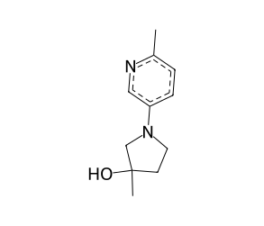 Cc1ccc(N2CCC(C)(O)C2)cn1